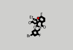 CCN1C(=O)CC2(C1=O)C(=O)N(Cc1ccc(Br)cc1F)C(=O)c1ccc(F)cc12